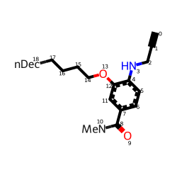 C#CCNc1ccc(C(=O)NC)cc1OCCCCCCCCCCCCCC